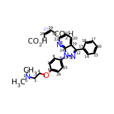 CN(C)CCOc1ccc(-n2nc(-c3ccccc3)c3cccnc32)cc1.O=C(O)/C=C\C(=O)O